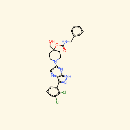 O=C(NCc1ccccc1)OC1(CO)CCN(c2cnc3c(-c4cccc(Cl)c4Cl)n[nH]c3n2)CC1